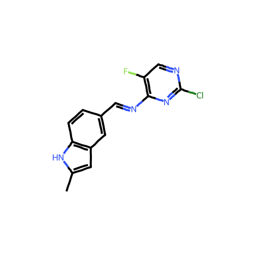 Cc1cc2cc(C=Nc3nc(Cl)ncc3F)ccc2[nH]1